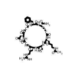 CC(=O)NCCCC[C@@H]1NC(=O)CSC[C@@H](C(N)=O)NC(=O)[C@H](Cc2ccccc2)NC(=O)CNC(=O)[C@H](CC(=O)O)NC(=O)CNC(=O)[C@H](CCCNC(=N)N)NC(=O)[C@H](CS)NC1=O